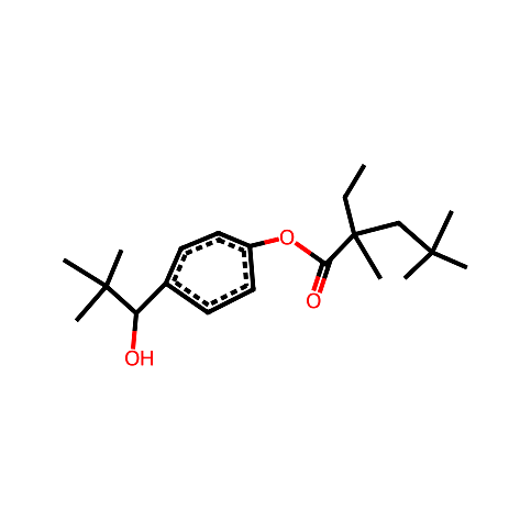 CCC(C)(CC(C)(C)C)C(=O)Oc1ccc(C(O)C(C)(C)C)cc1